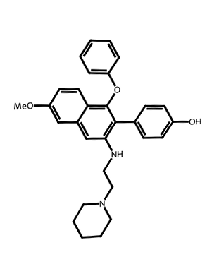 COc1ccc2c(Oc3ccccc3)c(-c3ccc(O)cc3)c(NCCN3CCCCC3)cc2c1